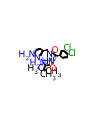 CC(C)(C)[C@@H](N)C(=O)NC[C@H](C(=O)NCc1ccc(N)nc1)c1ccc(Cl)c(Cl)c1